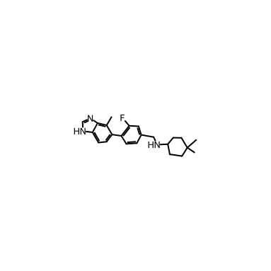 Cc1c(-c2ccc(CNC3CCC(C)(C)CC3)cc2F)ccc2[nH]cnc12